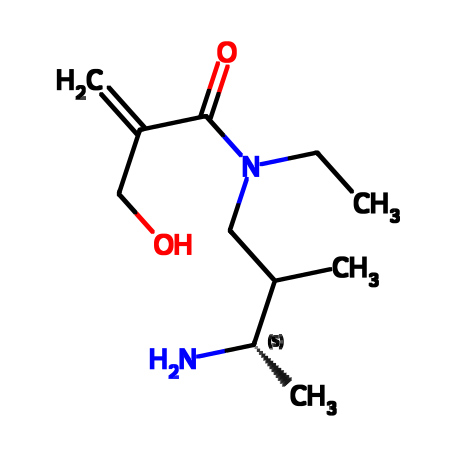 C=C(CO)C(=O)N(CC)CC(C)[C@H](C)N